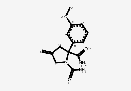 C=C1CN(C(N)=O)C(C(N)=O)(c2cccc(OC)c2)C1